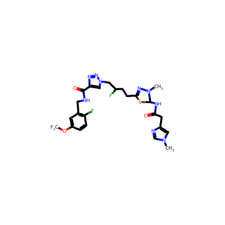 CN1N=C(CCC(F)Cn2cc(C(=O)NCc3cc(OC(F)(F)F)ccc3F)nn2)SC1NC(=O)Cc1cn(C)cn1